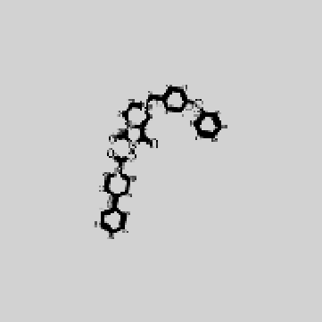 O=C(ON1C(=O)C2CN(Cc3ccc(Oc4ccccc4)cc3)CCN2C1=O)N1CCC(c2ccccc2)CC1